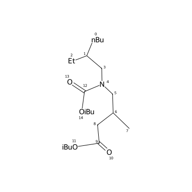 CCCCC(CC)CN(CC(C)CC(=O)OCC(C)C)C(=O)OCC(C)C